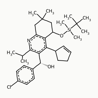 CC(C)c1nc2c(c(C3C=CCC3)c1[C@H](O)c1ccc(Cl)cc1)C(O[Si](C)(C)C(C)(C)C)CC(C)(C)C2